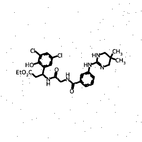 CCOC(=O)CC(NC(=O)CNC(=O)c1cccc(NC2=NCC(C)(C)CN2)c1)c1cc(Cl)cc(Cl)c1O